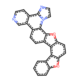 c1ccc2c(c1)oc1ccc3oc4c(ccc5c6cnccc6c6nccn6c54)c3c12